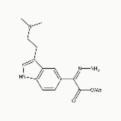 COC(=O)C(=NN)c1ccc2[nH]cc(CCN(C)C)c2c1